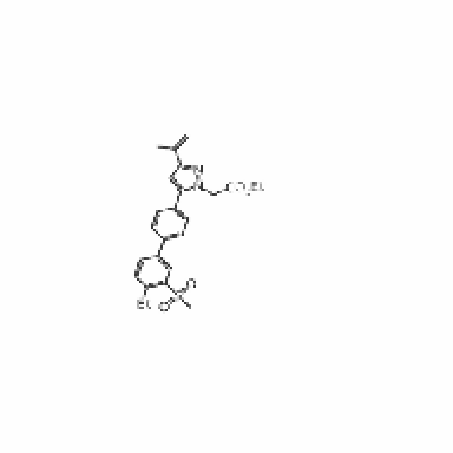 C=C(C)c1cc(-c2ccc(-c3ccc(CC)c(S(C)(=O)=O)c3)cc2)n(CC(=O)OCC)n1